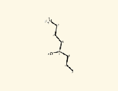 CCC[S+]([O-])CCCN